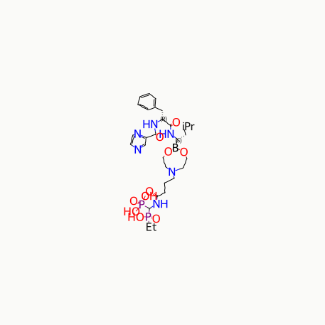 CCP(=O)(O)C(NC(=O)CCCN1CCOB([C@@H](CC(C)C)NC(=O)[C@@H](Cc2ccccc2)NC(=O)c2cnccn2)OCC1)P(=O)(O)O